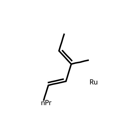 CC=C(C)C=CCCC.[Ru]